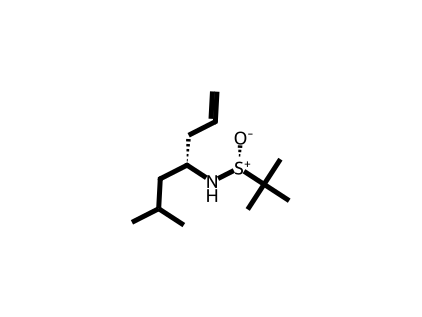 C=CC[C@@H](CC(C)C)N[S@+]([O-])C(C)(C)C